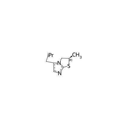 CC(C)Cc1cnc2n1C[C@@H](C)S2